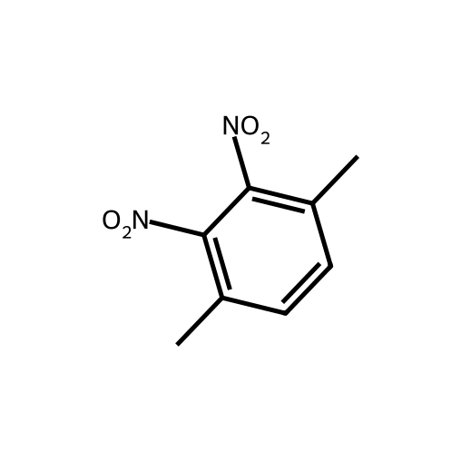 Cc1ccc(C)c([N+](=O)[O-])c1[N+](=O)[O-]